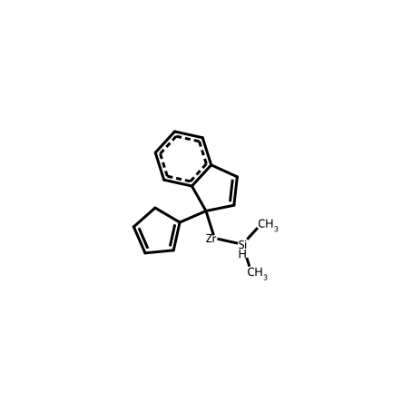 C[SiH](C)[Zr][C]1(C2=CC=CC2)C=Cc2ccccc21